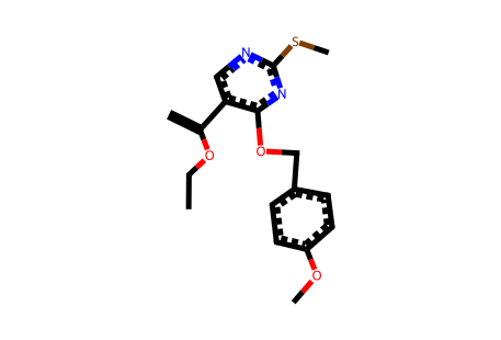 C=C(OCC)c1cnc(SC)nc1OCc1ccc(OC)cc1